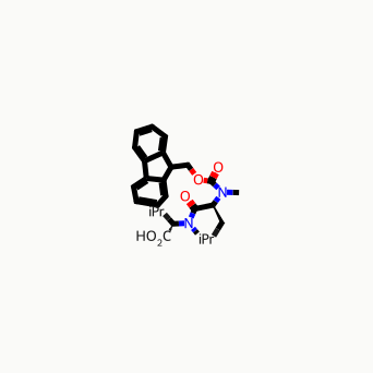 CC(C)C[C@@H](C(=O)N(C)[C@H](C(=O)O)C(C)C)N(C)C(=O)OCC1c2ccccc2-c2ccccc21